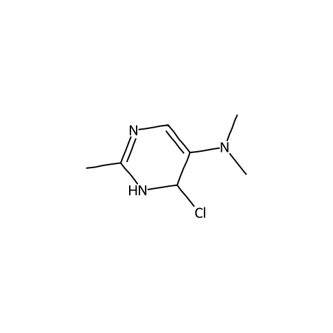 CC1=NC=C(N(C)C)C(Cl)N1